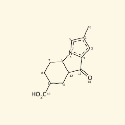 Cc1cc2n(c1)C1CCC(C(=O)O)CC1C2=O